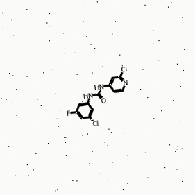 O=C(Nc1cc(F)cc(Cl)c1)Nc1ccnc(Cl)c1